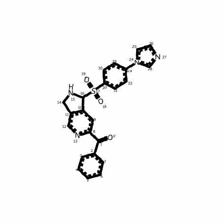 O=C(c1ccccc1)c1cc2c(cn1)CNC2S(=O)(=O)c1ccc(-n2ccnc2)cc1